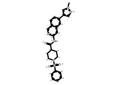 Cn1cc(-c2ccc3cnc(NC(=O)C4CCN(S(=O)(=O)c5ccccc5)CC4)cc3c2)cn1